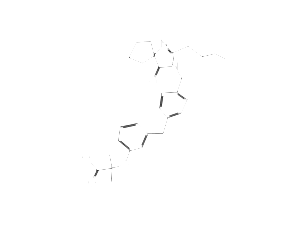 CCCCC1=NC2(CCCC2)C(=O)N1Cc1ccc(Cc2cccc(OC(C)(C)C(=O)O)c2)cc1